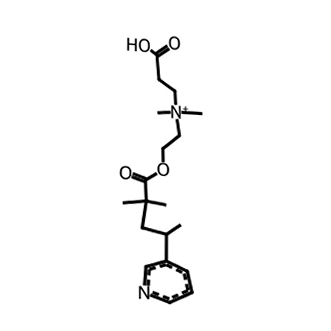 CC(CC(C)(C)C(=O)OCC[N+](C)(C)CCC(=O)O)c1cccnc1